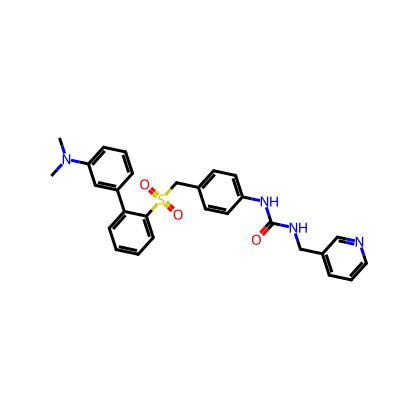 CN(C)c1cccc(-c2ccccc2S(=O)(=O)Cc2ccc(NC(=O)NCc3cccnc3)cc2)c1